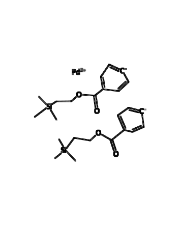 C[Si](C)(C)CCOC(=O)c1cc[c-]cc1.C[Si](C)(C)CCOC(=O)c1cc[c-]cc1.[Pd+2]